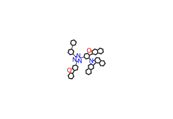 c1ccc(-c2cccc(-c3nc(-c4ccc5c(c4)oc4ccccc45)nc(-c4cc(-n5c6cc7ccccc7cc6c6c7ccccc7ccc65)c5c(c4)oc4cc6ccccc6cc45)n3)c2)cc1